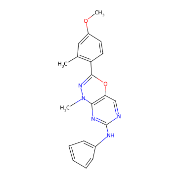 COc1ccc(C2=NN(C)c3nc(Nc4ccccc4)ncc3O2)c(C)c1